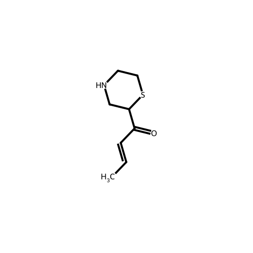 CC=CC(=O)C1CNCCS1